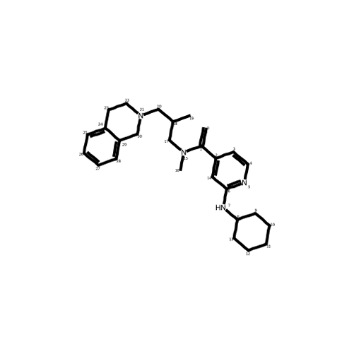 C=C(c1ccnc(NC2CCCCC2)c1)N(C)CC(C)CN1CCc2ccccc2C1